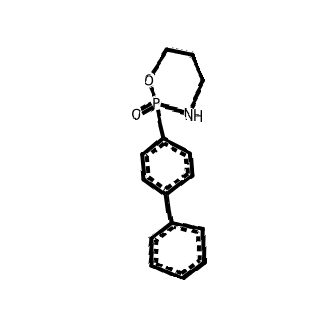 O=P1(c2ccc(-c3ccccc3)cc2)NCCCO1